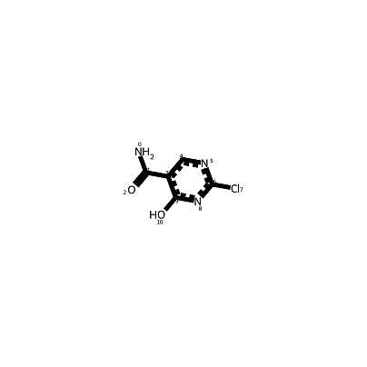 NC(=O)c1cnc(Cl)nc1O